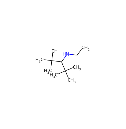 [CH2]CNC(C(C)(C)C)C(C)(C)C